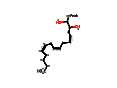 CCCCCC(O)C(O)C/C=C\C/C=C\C/C=C\CCCC(=O)O